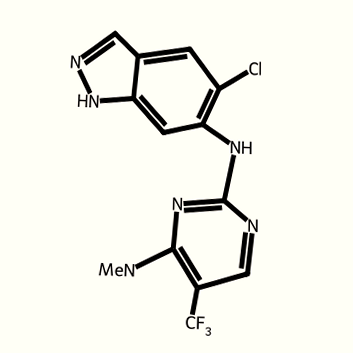 CNc1nc(Nc2cc3[nH]ncc3cc2Cl)ncc1C(F)(F)F